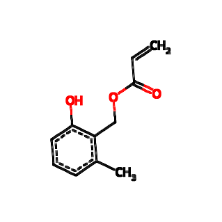 C=CC(=O)OCc1c(C)cccc1O